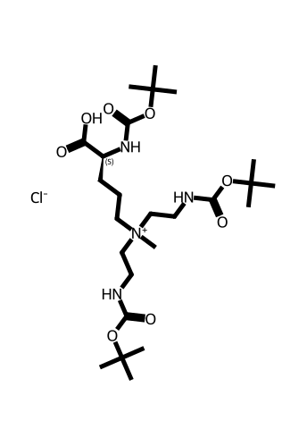 CC(C)(C)OC(=O)NCC[N+](C)(CCC[C@H](NC(=O)OC(C)(C)C)C(=O)O)CCNC(=O)OC(C)(C)C.[Cl-]